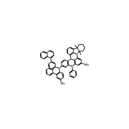 CC(C)(C)c1ccc(N(c2cccc(-c3cccc4ccccc34)c2)c2ccc3c(c2)N(c2ccccc2)c2cc(C(C)(C)C)cc4c2B3c2cccc3c2N4C2(C)CCCCC32C)c(-c2ccccc2)c1